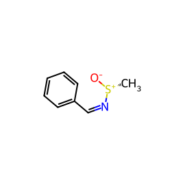 C[S@@+]([O-])/N=C\c1ccccc1